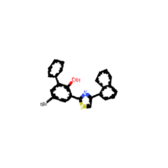 CC(C)(C)c1cc(-c2ccccc2)c(O)c(-c2nc(-c3cccc4ccccc34)cs2)c1